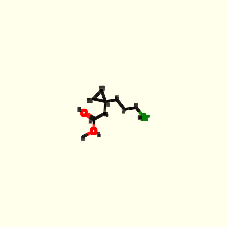 COC(=O)CC1(CCCBr)CC1